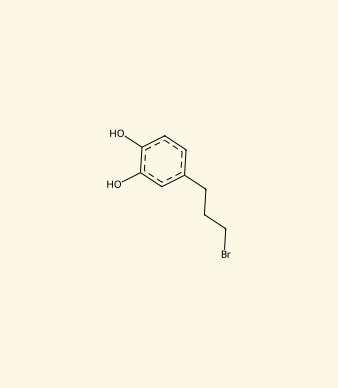 Oc1ccc(CCCBr)cc1O